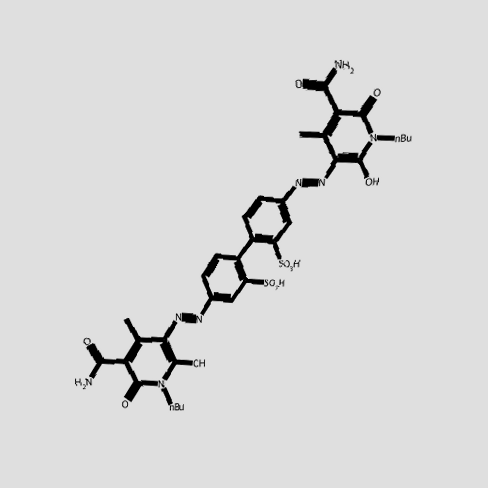 CCCCn1c(O)c(N=Nc2ccc(-c3ccc(N=Nc4c(C)c(C(N)=O)c(=O)n(CCCC)c4O)cc3S(=O)(=O)O)c(S(=O)(=O)O)c2)c(C)c(C(N)=O)c1=O